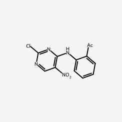 CC(=O)c1ccccc1Nc1nc(Cl)ncc1[N+](=O)[O-]